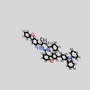 CC1=C(c2ccc3c(c2)oc2ccccc23)NC(c2cccc3oc4cc(-c5ccc6c(c5)c5ccccc5n6-c5ccccc5)ccc4c23)N=C(c2ccccc2)C1